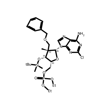 CCOP(=O)(OCC)OC[C@H]1O[C@@H](n2cnc3c(N)nc(Cl)nc32)[C@@](C)(COCc2ccccc2)[C@H]1O[Si](C)(C)C(C)(C)C